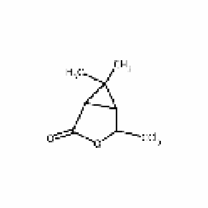 CC1(C)C2C(=O)OC(C(Cl)(Cl)Cl)C21